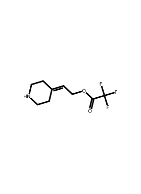 O=C(OCC=C1CCNCC1)C(F)(F)F